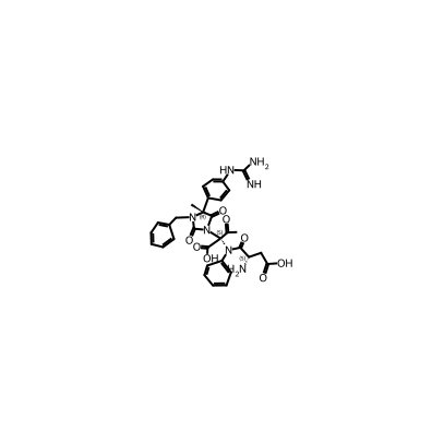 CC(=O)[C@@](C(=O)O)(N1C(=O)N(Cc2ccccc2)[C@](C)(c2ccc(NC(=N)N)cc2)C1=O)N(C(=O)[C@@H](N)CC(=O)O)c1ccccc1